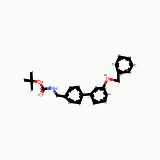 CC(C)(C)OC(=O)NCc1ccc(-c2cccc(OCc3ccccc3)c2)cc1